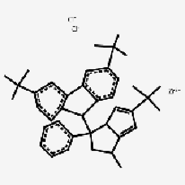 CC1CC(c2ccccc2)(C2c3ccc(C(C)(C)C)cc3-c3cc(C(C)(C)C)ccc32)C2C=C(C(C)(C)C)C=C12.[Cl-].[Cl-].[Zr+2]